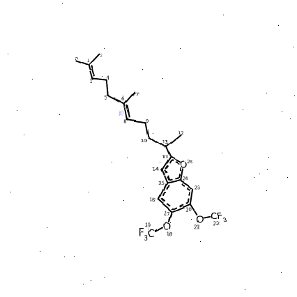 CC(C)=CCC/C(C)=C/CCC(C)c1cc2cc(OC(F)(F)F)c(OC(F)(F)F)cc2o1